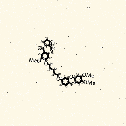 COc1ccc(Oc2cc(OCCCCCOc3cc4c(cc3OC)C(=O)N3CCC[C@H]3C=N4)ccc2F)cc1OC